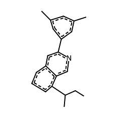 CCC(C)c1cccc2cc(-c3cc(C)cc(C)c3)ncc12